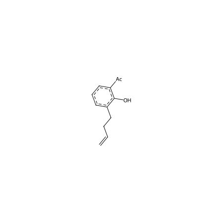 C=CCCc1cccc(C(C)=O)c1O